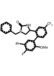 COc1cc(F)c(C(C)C)cc1-c1ccc(C(F)(F)F)cc1C1CN(Cc2ccccc2)C(=O)N1